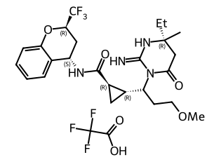 CC[C@]1(C)CC(=O)N(C(CCOC)[C@@H]2C[C@H]2C(=O)N[C@H]2C[C@H](C(F)(F)F)Oc3ccccc32)C(=N)N1.O=C(O)C(F)(F)F